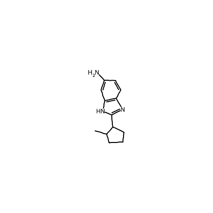 CC1CCCC1c1nc2ccc(N)cc2[nH]1